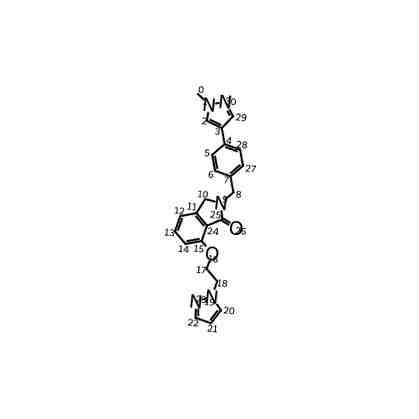 Cn1cc(-c2ccc(CN3Cc4cccc(OCCn5cccn5)c4C3=O)cc2)cn1